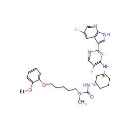 CCOc1ccccc1OCCCCCN(C)C(=O)N[C@H]1CCC[C@@H](Nc2nc(-c3c[nH]c4ncc(F)cc34)ncc2F)C1